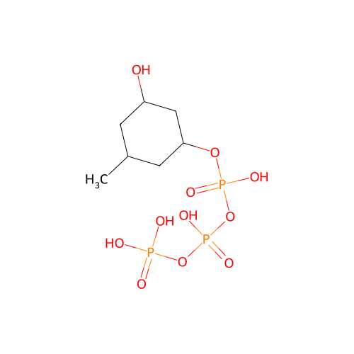 CC1CC(O)CC(OP(=O)(O)OP(=O)(O)OP(=O)(O)O)C1